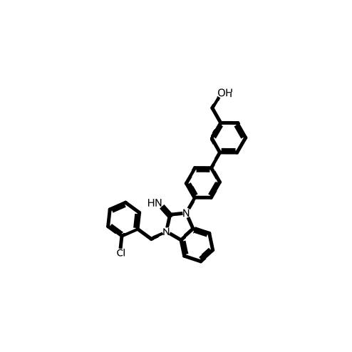 N=c1n(Cc2ccccc2Cl)c2ccccc2n1-c1ccc(-c2cccc(CO)c2)cc1